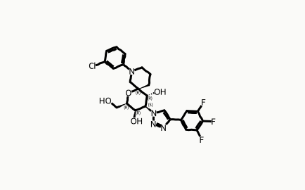 OC[C@H]1O[C@@]2(CCCN(c3cccc(Cl)c3)C2)[C@H](O)[C@@H](n2cc(-c3cc(F)c(F)c(F)c3)nn2)[C@H]1O